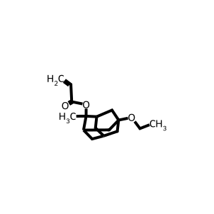 C=CC(=O)OC1(C)C2CC3CC1CC(OCC)(C3)C2